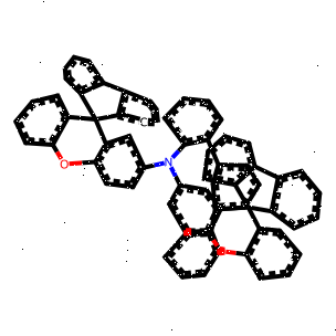 c1ccc(-c2cccc(-c3ccccc3N(c3ccc4c(c3)C3(c5ccccc5O4)c4ccccc4-c4ccccc43)c3ccc4c(c3)C3(c5ccccc5O4)c4ccccc4-c4ccccc43)c2)cc1